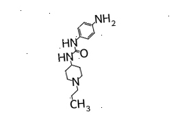 CCCN1CCC(NC(=O)Nc2ccc(N)cc2)CC1